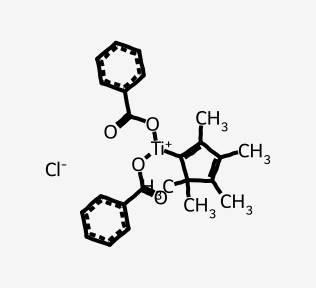 CC1=C(C)C(C)(C)[C]([Ti+]([O]C(=O)c2ccccc2)[O]C(=O)c2ccccc2)=C1C.[Cl-]